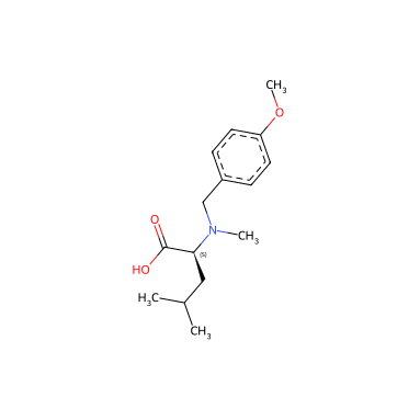 COc1ccc(CN(C)[C@@H](CC(C)C)C(=O)O)cc1